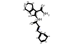 NC(=O)c1c(NC(=O)/C=C/c2ccccc2)sc2c1CCOC2